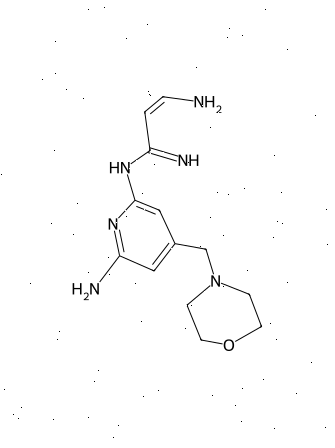 N=C(/C=C\N)Nc1cc(CN2CCOCC2)cc(N)n1